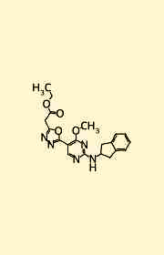 CCOC(=O)Cc1nnc(-c2cnc(NC3Cc4ccccc4C3)nc2OC)o1